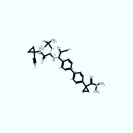 CN(C)C(=O)C1(c2ccc(-c3ccc([C@H](N[C@@H](CC(C)(C)F)C(=O)NC4(C#N)CC4)C(F)F)cc3)cc2)CC1